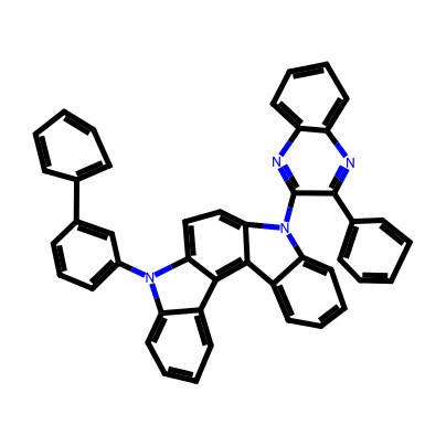 c1ccc(-c2cccc(-n3c4ccccc4c4c5c6ccccc6n(-c6nc7ccccc7nc6-c6ccccc6)c5ccc43)c2)cc1